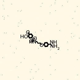 COc1ccc(S(=O)(=O)NCCCOc2ccc(C(=N)N)cc2)cc1O